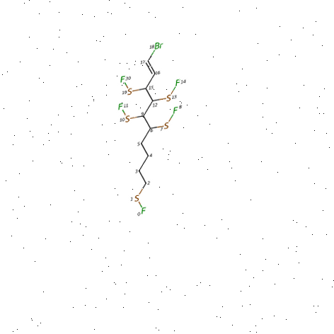 FSCCCCC(SF)C(SF)C(SF)C(C=CBr)SF